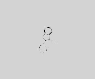 OC1c2ccccc2C[C@@H]1N1CCOCC1